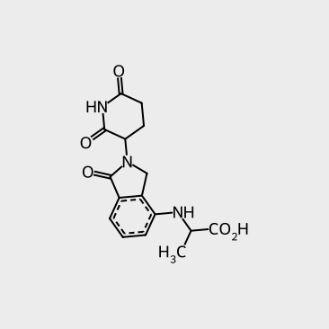 CC(Nc1cccc2c1CN(C1CCC(=O)NC1=O)C2=O)C(=O)O